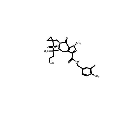 CSCCC(C)(C)S(=O)(=O)C1(CN2CCc3c(C(=O)NCc4ccc(C)c(F)c4)nn(C)c3C2=O)CC1